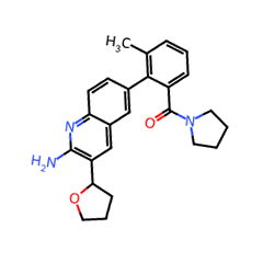 Cc1cccc(C(=O)N2CCCC2)c1-c1ccc2nc(N)c(C3CCCO3)cc2c1